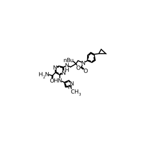 CCCCC1(CNc2cnc(C(N)=O)c(Nc3cnn(C)c3)n2)CN(c2ccc(C3CC3)cc2)C(=O)O1